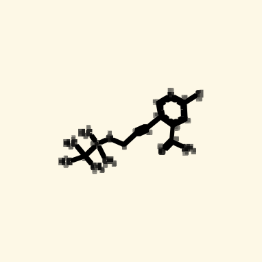 CC(C)(C)[Si](C)(C)OCC#Cc1cnc(Cl)cc1C(N)=O